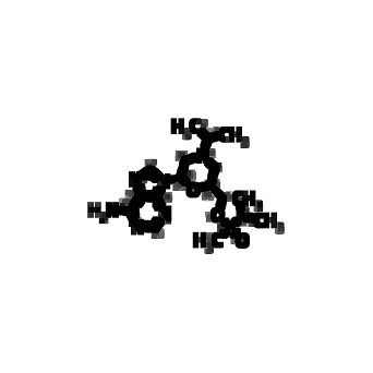 CC(C)N1C[C@@H](COP(C)(=O)N(C)C)O[C@@H](n2cnc3c(N)ncnc32)C1